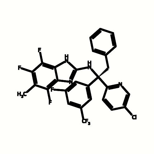 Cc1c(F)c(F)c2[nH]c(N[C@](Cc3ccccc3)(c3cc(F)cc(C(F)(F)F)c3)c3ccc(Cl)cn3)nc2c1F